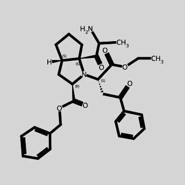 CCOC(=O)[C@H](CC(=O)c1ccccc1)N1[C@@H](C(=O)OCc2ccccc2)C[C@@H]2CCC[C@@]21C(=O)C(C)N